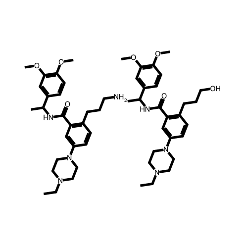 CCN1CCN(c2ccc(CCCN)c(C(=O)NC(C)c3ccc(OC)c(OC)c3)c2)CC1.CCN1CCN(c2ccc(CCCO)c(C(=O)NC(C)c3ccc(OC)c(OC)c3)c2)CC1